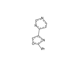 CC(C)c1nc(-c2ccncn2)co1